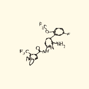 Nc1nc(NC(=O)c2conc2C(F)(F)F)ccc1-c1cc(F)ccc1OC(F)(F)F